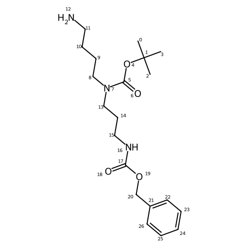 CC(C)(C)OC(=O)N(CCCCN)CCCNC(=O)OCc1ccccc1